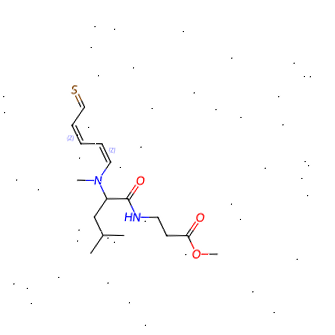 COC(=O)CCNC(=O)C(CC(C)C)N(C)/C=C\C=C/C=S